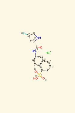 Cl.O=C(Nc1ccc2c(S(=O)(=O)O)cccc2c1)[C@@H]1C[C@@H](F)CN1